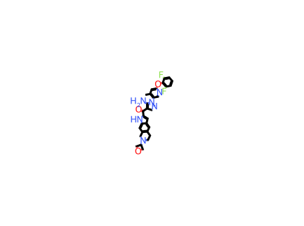 Cc1cc(Oc2c(F)cccc2F)ncc1-n1ncc(C(=O)c2cc3cc4c(cc3[nH]2)CN(C2COC2)CC4)c1N